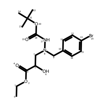 CCOC(=O)C(O)CN(Cc1ccc(Br)cc1)NC(=O)OC(C)(C)C